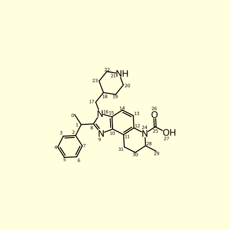 CC(c1ccccc1)c1nc2c3c(ccc2n1CC1CCNCC1)N(C(=O)O)C(C)CC3